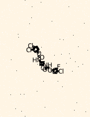 CC1(NC(=O)COc2ccc(Cl)c(F)c2)C=C(NC(=O)COc2ccc(Cl)c(Cl)c2)C1